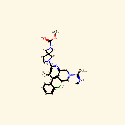 C/N=C(/SC)N1CCc2c(nc(N3CCC4(CN(C(=O)OC(C)(C)C)C4)C3)c(C#N)c2-c2ccccc2F)C1